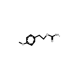 COc1ccc(CCOC(N)=O)cc1